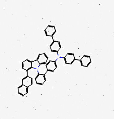 c1ccc(-c2ccc(N(c3ccc(-c4ccccc4)cc3)c3ccc(-c4ccccc4-n4c5ccccc5c5cccc(-c6ccc7ccccc7c6)c54)cc3)cc2)cc1